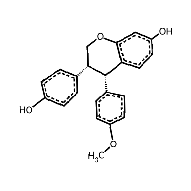 COc1ccc([C@H]2c3ccc(O)cc3OC[C@H]2c2ccc(O)cc2)cc1